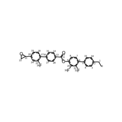 CCc1ccc(-c2ccc(OC(=O)c3ccc(-c4ccc(C5CO5)cc4F)cc3)c(F)c2F)cc1